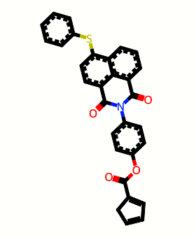 O=C(Oc1ccc(N2C(=O)c3cccc4c(Sc5ccccc5)ccc(c34)C2=O)cc1)C1=CC=CC1